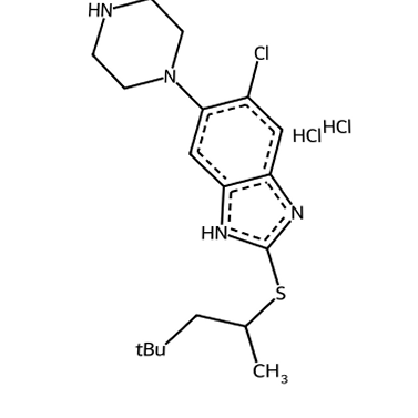 CC(CC(C)(C)C)Sc1nc2cc(Cl)c(N3CCNCC3)cc2[nH]1.Cl.Cl